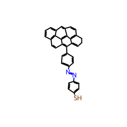 Sc1ccc(/N=N/c2ccc(-c3c4c5c(ccc6cc7cccc8ccc3c(c87)c65)CCC=4)cc2)cc1